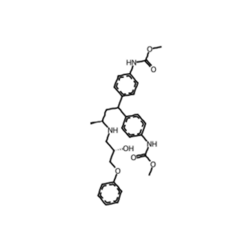 COC(=O)Nc1ccc(C(C[C@H](C)NC[C@H](O)COc2ccccc2)c2ccc(NC(=O)OC)cc2)cc1